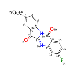 CCCCCCCCc1ccc2c(c1)C(=O)c1nc3cc(F)ccc3c(=O)n1-2